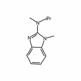 CC(C)N(C)c1nc2ccccc2n1C